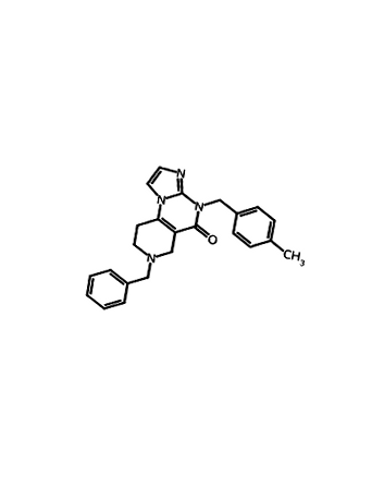 Cc1ccc(Cn2c(=O)c3c(n4ccnc24)CCN(Cc2ccccc2)C3)cc1